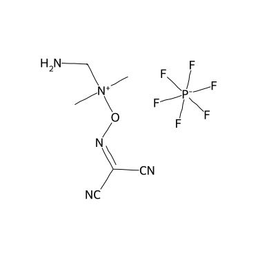 C[N+](C)(CN)ON=C(C#N)C#N.F[P-](F)(F)(F)(F)F